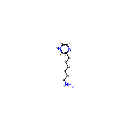 NCCCCCCc1cnccn1